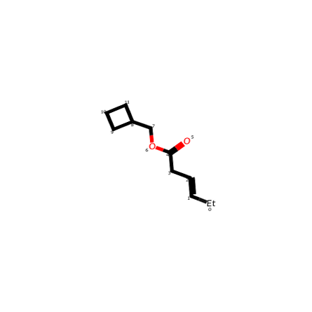 CCC=CCC(=O)OCC1CCC1